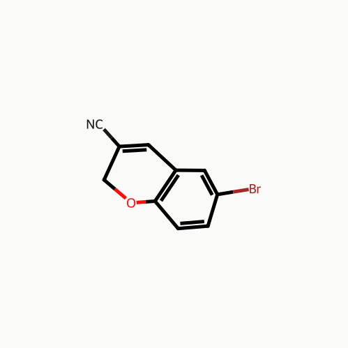 N#CC1=Cc2cc(Br)ccc2OC1